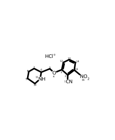 Cl.N#Cc1c(OCC2CCCCN2)cccc1[N+](=O)[O-]